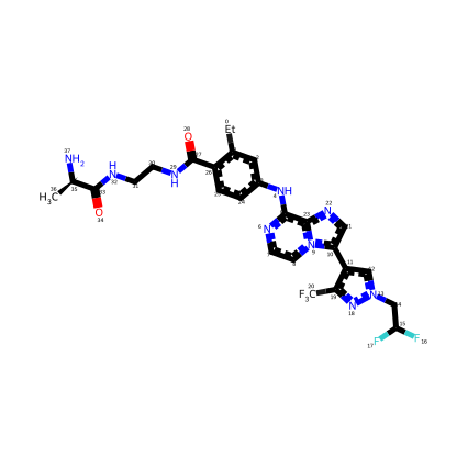 CCc1cc(Nc2nccn3c(-c4cn(CC(F)F)nc4C(F)(F)F)cnc23)ccc1C(=O)NCCNC(=O)[C@@H](C)N